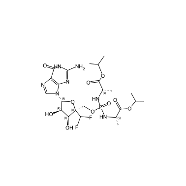 CC(C)OC(=O)[C@H](C)NP(=O)(N[C@@H](C)C(=O)OC(C)C)OC[C@@]1(C(F)F)O[C@@H](n2cnc3c(=O)[nH]c(N)nc32)[C@H](O)[C@@H]1O